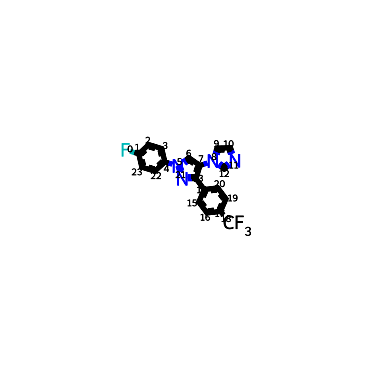 Fc1ccc(-n2cc(-n3ccnc3)c(-c3ccc(C(F)(F)F)cc3)n2)cc1